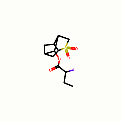 CCC(I)C(=O)OC1C2CC3C1CS(=O)(=O)C3C2